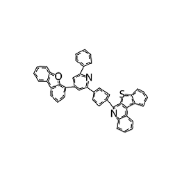 c1ccc(-c2cc(-c3cccc4c3oc3ccccc34)cc(-c3ccc(-c4nc5ccccc5c5c4sc4ccccc45)cc3)n2)cc1